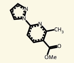 COC(=O)c1ccc(-n2cccn2)nc1C